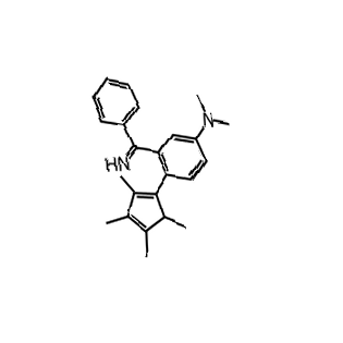 CC1=C(C)C(C)C(c2ccc(N(C)C)cc2C(=N)c2ccccc2)=C1C